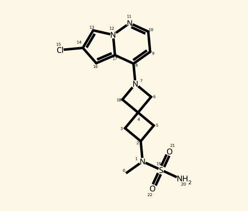 CN(C1CC2(C1)CN(c1ccnn3cc(Cl)cc13)C2)S(N)(=O)=O